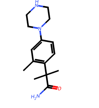 Cc1cc(N2CCNCC2)ccc1C(C)(C)C(N)=O